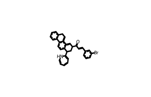 O=C(C=Cc1cccc(Br)c1)C1C=c2c(ccc3c2=CCc2ccccc2-3)C(C2=CC=CC=CN2)C1